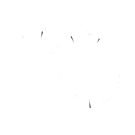 CC[C@H]1OC(=O)[C@H](C)[C@@H](O)[C@H](C)[C@@H](O[C@@H]2O[C@H](C)C[C@H](N(C)C)[C@H]2O)[C@](C)(O)C[C@@H](C)CN(C(C)C)[C@H](C)[C@@H](O)[C@]1(C)O